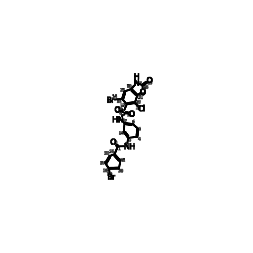 O=C(Nc1cccc(NS(=O)(=O)c2c(Br)cc3[nH]c(=O)oc3c2Cl)c1)c1ccc(Br)cc1